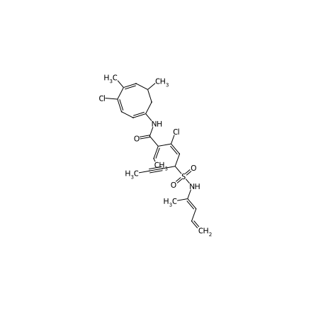 C=C/C=C(\C)NS(=O)(=O)C(C#CC)/C=C(Cl)\C(=C/C)C(=O)N/C1=C/C=C(Cl)\C(C)=C/C(C)C1